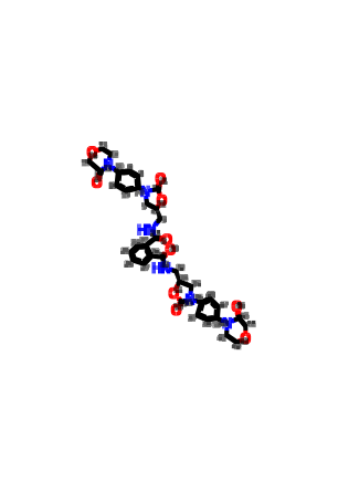 O=C(NC[C@H]1CN(c2ccc(N3CCOCC3=O)cc2)C(=O)O1)c1ccccc1C(=O)NC[C@H]1CN(c2ccc(N3CCOCC3=O)cc2)C(=O)O1